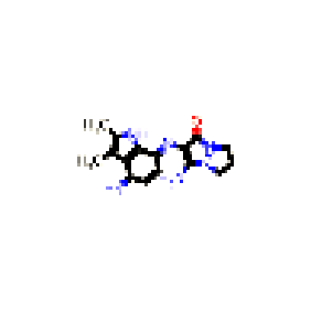 Cc1[nH]c2c(c1C)C(=N)C=CC2=Nc1c(N)n2n(c1=O)CCC2